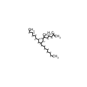 CCCCCCCC[C](CCCCCCCC)CCC(C)CCCC(C)C